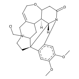 COc1cc2c(cc1OC)[C@@]13CC[N+]4(CCl)CC5=CCOC6CC(=O)N2[C@H]1[C@H]6C5CC34